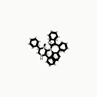 CN1C(N2c3ccccc3-c3ccccc3-c3c2sc2ccccc32)=C(c2ccccc2)NCC1c1ccccc1